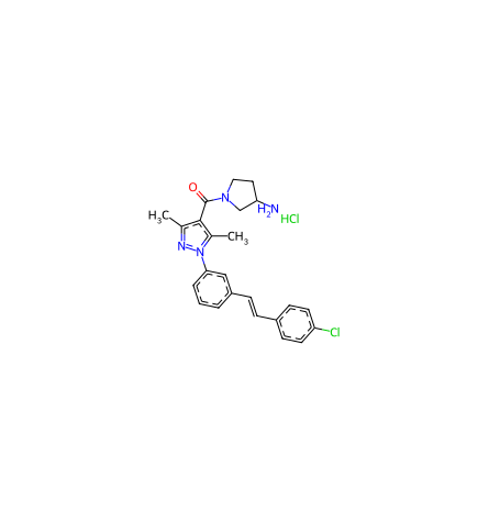 Cc1nn(-c2cccc(C=Cc3ccc(Cl)cc3)c2)c(C)c1C(=O)N1CCC(N)C1.Cl